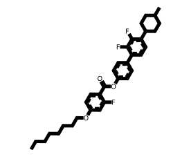 CCCCCCCCOc1ccc(C(=O)Oc2ccc(-c3ccc(C4CCC(C)CC4)c(F)c3F)cc2)c(F)c1